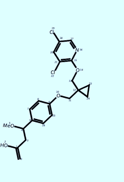 C=C(O)CC(OC)c1ccc(OCC2(COc3ncc(Cl)cc3Cl)CC2)cc1